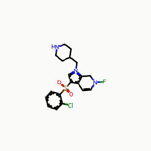 O=S(=O)(c1ccccc1Cl)c1cn(CC2CCNCC2)c2c1C=CN(F)C2